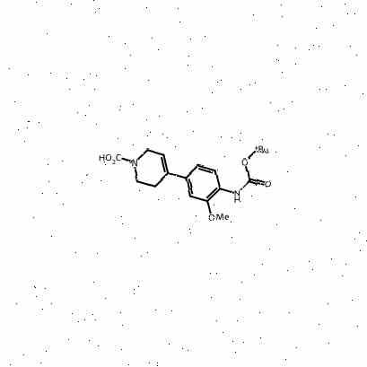 COc1cc(C2=CCN(C(=O)O)CC2)ccc1NC(=O)OC(C)(C)C